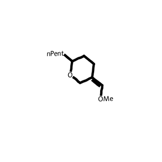 CCCCCC1CC/C(=C/OC)CO1